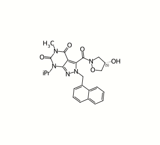 CC(C)n1c(=O)n(C)c(=O)c2c(C(=O)N3C[C@H](O)CO3)n(Cc3cccc4ccccc34)nc21